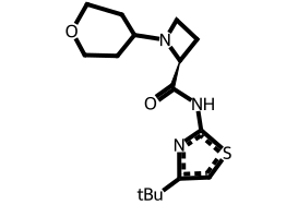 CC(C)(C)c1csc(NC(=O)[C@@H]2CCN2C2CCOCC2)n1